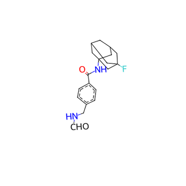 O=CNCc1ccc(C(=O)NC23CC4CC(CC(F)(C4)C2)C3)cc1